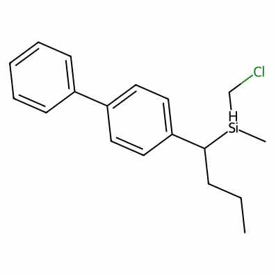 CCCC(c1ccc(-c2ccccc2)cc1)[SiH](C)CCl